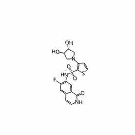 O=c1[nH]ccc2cc(F)c(NS(=O)(=O)c3sccc3N3CC(O)C(O)C3)cc12